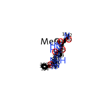 COC(=O)NC(CC/C=C/C(=O)N(C)C)C(=O)Nc1cccn(Cc2nc3c(OCc4ccccc4)ncnc3[nH]2)c1=O